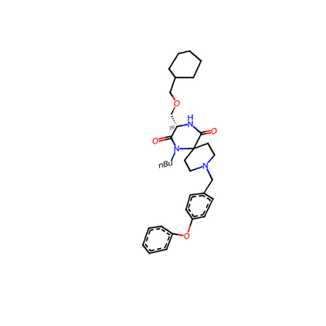 CCCCN1C(=O)[C@H](COCC2CCCCC2)NC(=O)C12CCN(Cc1ccc(Oc3ccccc3)cc1)CC2